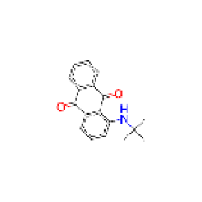 CC(C)(C)Nc1cccc2c1C(=O)c1ccccc1C2=O